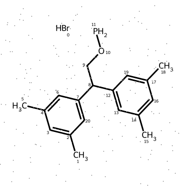 Br.Cc1cc(C)cc(C(COP)c2cc(C)cc(C)c2)c1